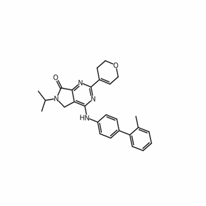 Cc1ccccc1-c1ccc(Nc2nc(C3=CCOCC3)nc3c2CN(C(C)C)C3=O)cc1